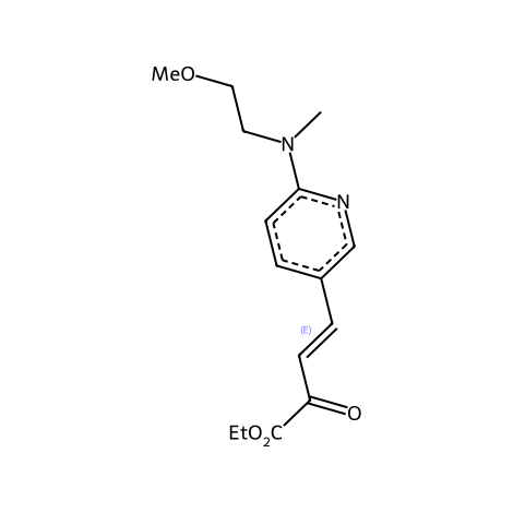 CCOC(=O)C(=O)/C=C/c1ccc(N(C)CCOC)nc1